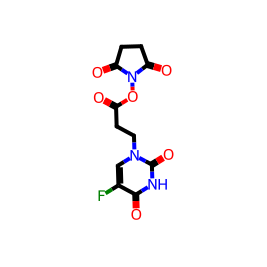 O=C(CCn1cc(F)c(=O)[nH]c1=O)ON1C(=O)CCC1=O